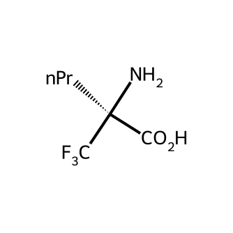 CCC[C@](N)(C(=O)O)C(F)(F)F